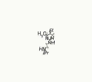 CCc1cnc(NCCNC(C)C)nc1C